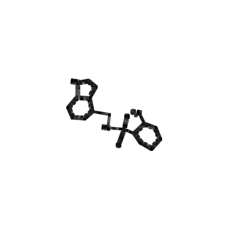 O=[N+]([O-])c1ccccc1S(=O)(=O)NCc1cccc2[nH]ccc12